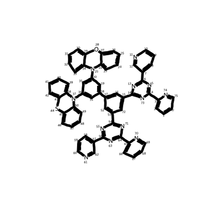 c1ccc(-c2nc(-c3cccnc3)nc(-c3cc(-c4cc(N5c6ccccc6Oc6ccccc65)cc(N5c6ccccc6Sc6ccccc65)c4)cc(-c4nc(-c5cccnc5)nc(-c5ccccn5)n4)c3)n2)nc1